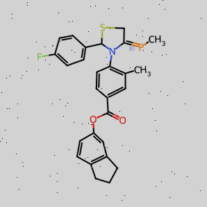 C/P=C1\CSC(c2ccc(F)cc2)N1c1ccc(C(=O)Oc2ccc3c(c2)CCC3)cc1C